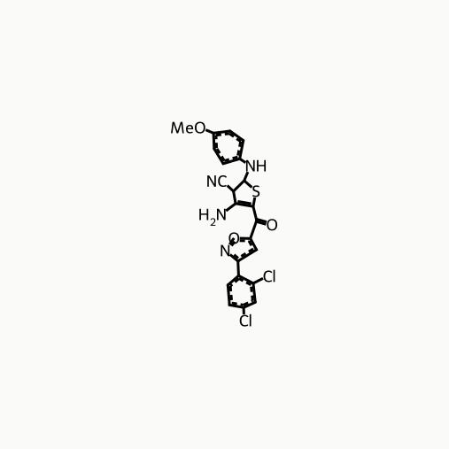 COc1ccc(NC2SC(C(=O)c3cc(-c4ccc(Cl)cc4Cl)no3)=C(N)C2C#N)cc1